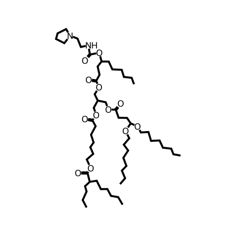 CCCCCCCCOC(CCC(=O)OCC(COC(=O)CCCCCCOC(=O)C(CCCC)CCCCCC)COC(=O)CCC(CCCCCC)OC(=O)NCCN1CCCC1)OCCCCCCCC